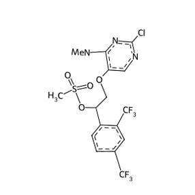 CNc1nc(Cl)ncc1OCC(OS(C)(=O)=O)c1ccc(C(F)(F)F)cc1C(F)(F)F